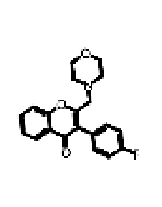 O=c1c(-c2ccc(F)cc2)c(CN2CCOCC2)oc2ccccc12